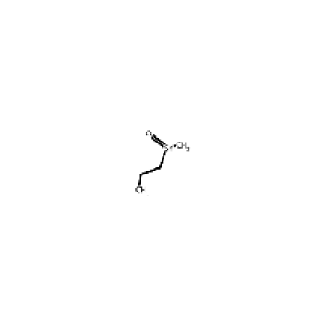 CC[CH2][Sn]([CH3])=[O]